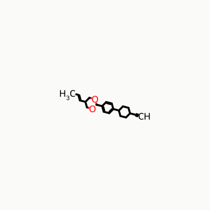 C#CC1CCC(c2ccc(C3OCC(C=CC)CO3)cc2)CC1